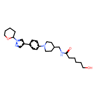 O=C(CCCCCO)NCC1CCN(c2ccc(-c3cnn(C4CCCCO4)c3)cc2)CC1